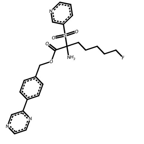 NC(CCCCCF)(C(=O)OCc1ccc(-c2cnccn2)cc1)S(=O)(=O)c1cccnc1